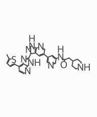 Cc1ccc(-c2ccnc3[nH]c(-c4n[nH]c5ncc(-c6cncc(NC(=O)CC7CCNCC7)c6)cc45)nc23)s1